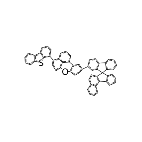 c1ccc2c(c1)-c1ccc(-c3ccc4c(c3)-c3cccc5c(-c6cccc7c6sc6ccccc67)ccc(c35)O4)cc1C21c2ccccc2-c2c1ccc1ccccc21